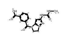 CNC(=O)Nc1cc2n(n1)CCN2C(=O)c1cccc(C(=O)O)c1